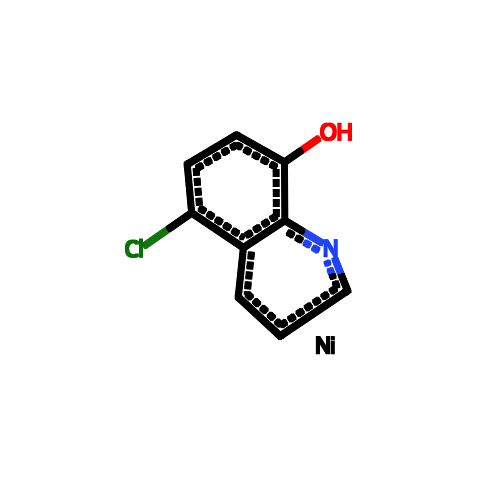 Oc1ccc(Cl)c2cccnc12.[Ni]